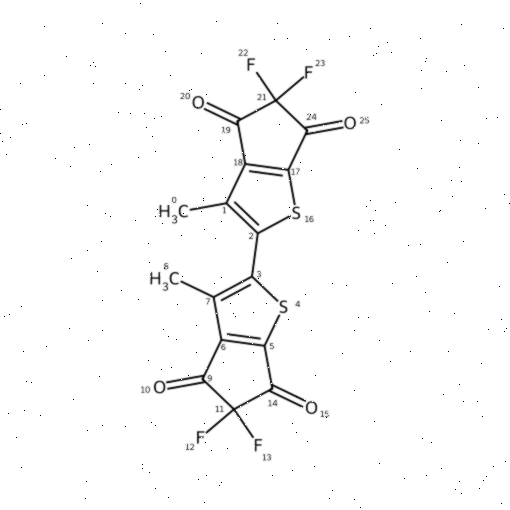 Cc1c(-c2sc3c(c2C)C(=O)C(F)(F)C3=O)sc2c1C(=O)C(F)(F)C2=O